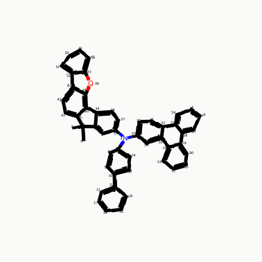 CC1(C)c2cc(N(c3ccc(-c4ccccc4)cc3)c3ccc4c5ccccc5c5ccccc5c4c3)ccc2-c2c1ccc1c2oc2ccccc21